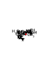 CN/C(C(=O)O)=C(/C)C(=N)c1ccc(OCc2c(NC(=O)N(C)N)cccc2C2CC2)c(C)c1